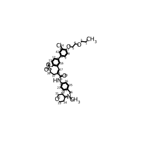 CCCOCCOc1ccc(-c2ccc3c(c2)C=C(C(=O)Nc2ccc(CN(C)C4CCOCC4)cc2)CCS3(=O)=O)cc1Cl